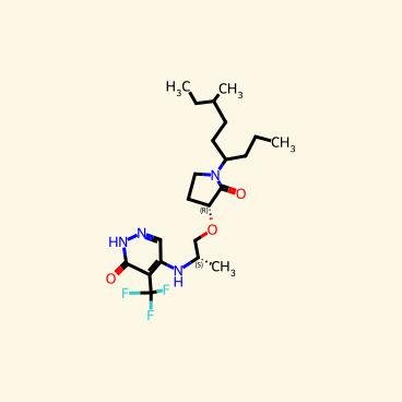 CCCC(CCC(C)CC)N1CC[C@@H](OC[C@H](C)Nc2cn[nH]c(=O)c2C(F)(F)F)C1=O